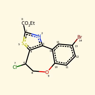 CCOC(=O)c1nc2c(s1)C(Cl)COc1ccc(Br)cc1-2